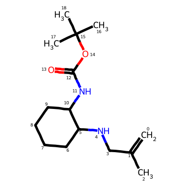 C=C(C)CNC1CCCCC1NC(=O)OC(C)(C)C